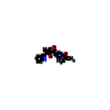 CC(C)C(=O)N1CCC(CN(C=O)C(C)C(=O)C(=O)NCC2CCCCC2)CC1